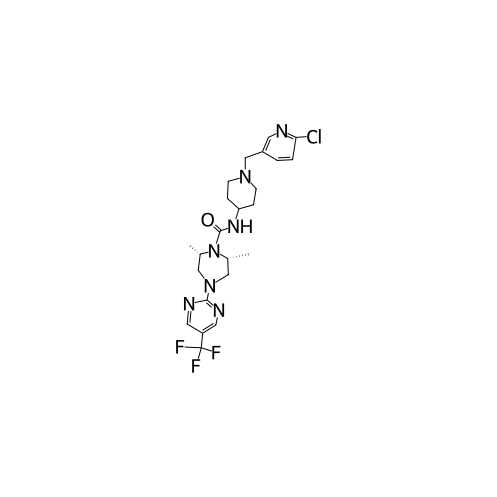 C[C@@H]1CN(c2ncc(C(F)(F)F)cn2)C[C@H](C)N1C(=O)NC1CCN(Cc2ccc(Cl)nc2)CC1